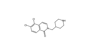 O=c1c2ccc(Cl)c(Cl)c2ccn1CC1CCNCC1